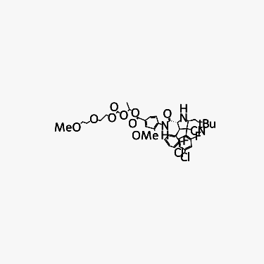 COCCOCCOC(=O)OC(C)OC(=O)c1ccc(NC(=O)[C@@H]2N[C@@H](CC(C)(C)C)C(C#N)(c3ccc(Cl)cc3F)[C@H]2c2cccc(Cl)c2F)c(OC)c1